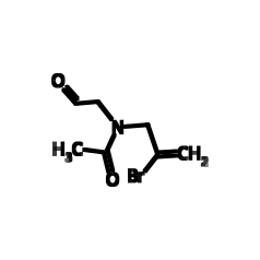 C=C(Br)CN(CC=O)C(C)=O